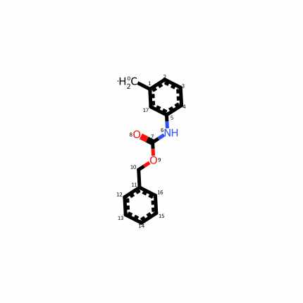 [CH2]c1cccc(NC(=O)OCc2ccccc2)c1